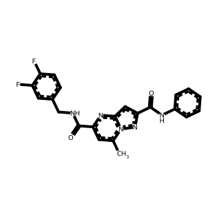 Cc1cc(C(=O)NCc2ccc(F)c(F)c2)nc2cc(C(=O)Nc3ccccc3)nn12